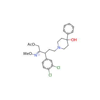 CO/N=C(\COC(C)=O)C(CCN1CCC(O)(c2ccccc2)CC1)c1ccc(Cl)c(Cl)c1